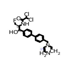 C=CN(/C=C\N)Cc1ccc(-c2ccc([C@@H](O)[C@@H](CF)NC(=O)C(Cl)Cl)cc2)cc1